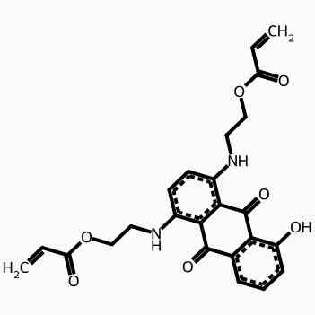 C=CC(=O)OCCNc1ccc(NCCOC(=O)C=C)c2c1C(=O)c1cccc(O)c1C2=O